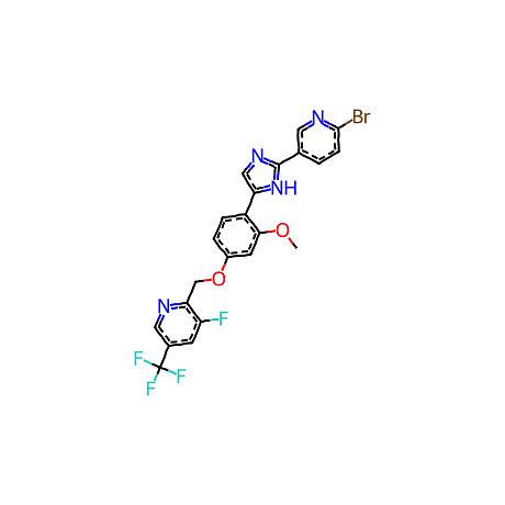 COc1cc(OCc2ncc(C(F)(F)F)cc2F)ccc1-c1cnc(-c2ccc(Br)nc2)[nH]1